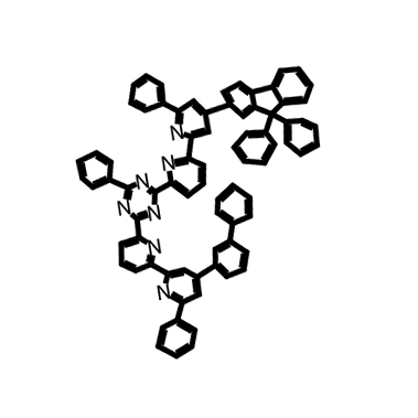 c1ccc(-c2cccc(-c3cc(-c4ccccc4)nc(-c4cccc(-c5nc(-c6ccccc6)nc(-c6cccc(-c7cc(-c8ccc9c(c8)C(c8ccccc8)(c8ccccc8)c8ccccc8-9)cc(-c8ccccc8)n7)n6)n5)n4)c3)c2)cc1